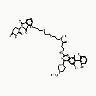 CN(CCOCCOCCNc1cccc2c1C(=O)N(C1CCC(=O)NC1=O)C2=O)C(=O)CCNc1nc(N2CCN(C(=O)O)CC2)c2cc(Cl)c(-c3c(O)cccc3F)c(F)c2n1